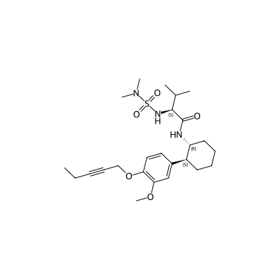 CCC#CCOc1ccc([C@@H]2CCCC[C@H]2NC(=O)[C@@H](NS(=O)(=O)N(C)C)C(C)C)cc1OC